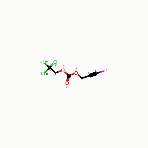 O=C(OCC#CI)OCC(Cl)(Cl)Cl